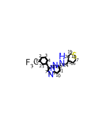 FC(F)(F)c1cccc(-c2cnc3ccc(NCC4CCSCC4)nn23)c1